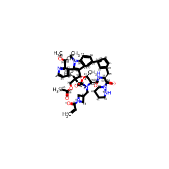 C=CC(=O)N1CC(CN2C(=O)O[C@H](C)[C@H]2C(=O)N[C@@H](Cc2cccc(-c3ccc4c(c3)c(CC(C)(C)COC(=O)[SiH3])c(-c3cccnc3[C@H](C)OC)n4CC)c2)C(=O)N2CCCCN2)C1